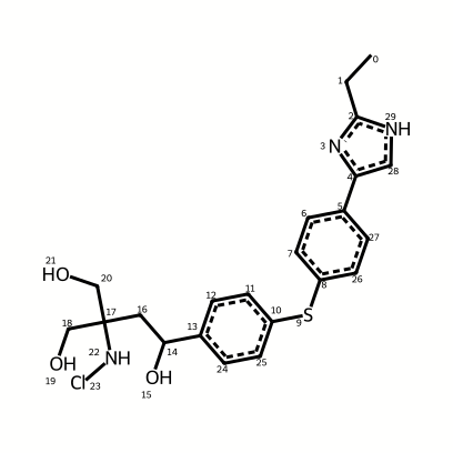 CCc1nc(-c2ccc(Sc3ccc(C(O)CC(CO)(CO)NCl)cc3)cc2)c[nH]1